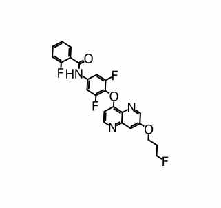 O=C(Nc1cc(F)c(Oc2ccnc3cc(OCCCF)cnc23)c(F)c1)c1ccccc1F